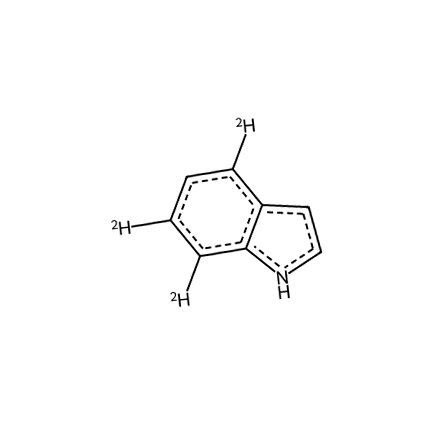 [2H]c1cc([2H])c2cc[nH]c2c1[2H]